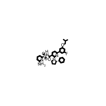 CC(C)COc1cc(F)cc(-c2ccc(C(=O)NS(=O)(=O)c3cccc(N)n3)c(N3CCC[C@H]3c3ccccc3)n2)c1